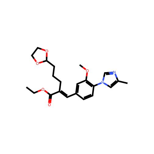 CCOC(=O)/C(=C/c1ccc(-n2cnc(C)c2)c(OC)c1)CCCC1OCCO1